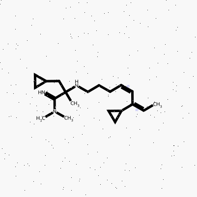 C/C=C(\C=C/CCCNC(C)(CC1CC1)C(=N)N(C)C)C1CC1